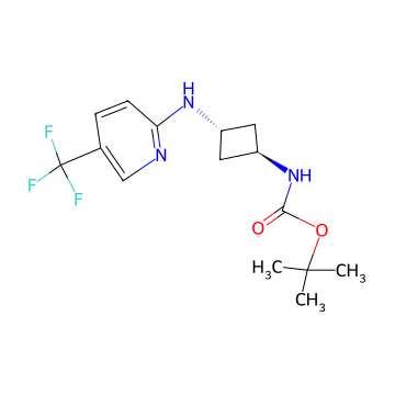 CC(C)(C)OC(=O)N[C@H]1C[C@H](Nc2ccc(C(F)(F)F)cn2)C1